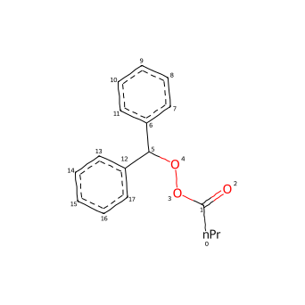 CCCC(=O)OOC(c1ccccc1)c1ccccc1